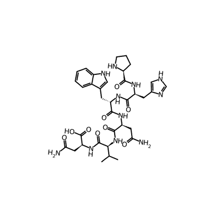 CC(C)[C@H](NC(=O)[C@H](CC(N)=O)NC(=O)[C@H](Cc1c[nH]c2ccccc12)NC(=O)[C@H](Cc1c[nH]cn1)NC(=O)[C@@H]1CCCN1)C(=O)N[C@@H](CC(N)=O)C(=O)O